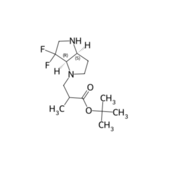 CC(CN1CC[C@@H]2NCC(F)(F)[C@@H]21)C(=O)OC(C)(C)C